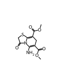 COC(=O)C1=C(N)N2C(=O)CSC2=C(C(=O)OC)C1